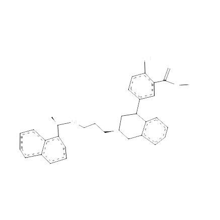 COC(=O)c1cc(C2C[C@H](CCCN[C@H](C)c3cccc4ccccc34)Cc3ccccc32)ccc1C